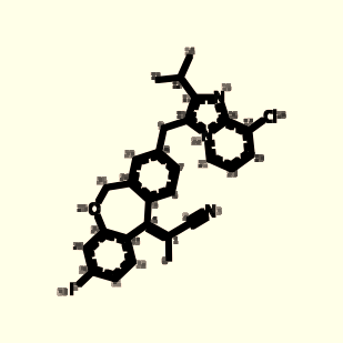 CC(C#N)=C1c2ccc(Cc3c(C(C)C)nc4c(Cl)cccn34)cc2COc2cc(F)ccc21